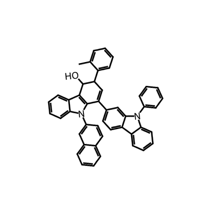 Cc1ccccc1C1C=C(c2ccc3c4ccccc4n(-c4ccccc4)c3c2)c2c(c3ccccc3n2-c2ccc3ccccc3c2)C1O